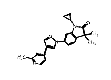 Cc1cc(-c2cnn(-c3ccc4c(c3)N(C3CC3)C(=O)C4(C)C)c2)ccn1